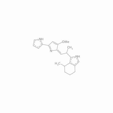 COC1=CC(c2ccc[nH]2)=N/C1=C/C(C)c1[nH]cc2c1C(C)CCC2